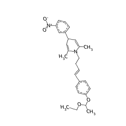 CCOC(C)Oc1ccc(/C=C/CCN2C(C)=CC(c3cccc([N+](=O)[O-])c3)C=C2C)cc1